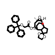 C[C@@]12C[C@H](OC(=O)COC(c3ccccc3)(c3ccccc3)c3ccccc3)C3CCCC4(CCC5(OCCO5)C34)C[C@@H]1O2